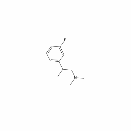 CC(CN(C)C)c1cccc(F)c1